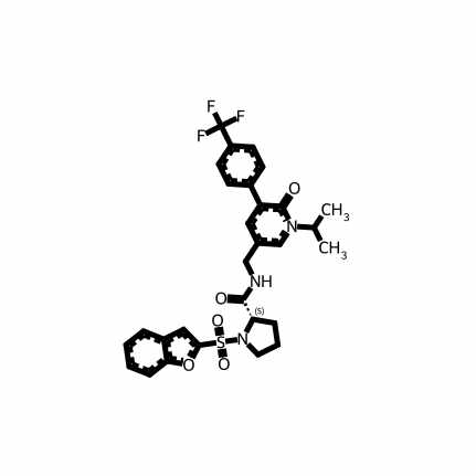 CC(C)n1cc(CNC(=O)[C@@H]2CCCN2S(=O)(=O)c2cc3ccccc3o2)cc(-c2ccc(C(F)(F)F)cc2)c1=O